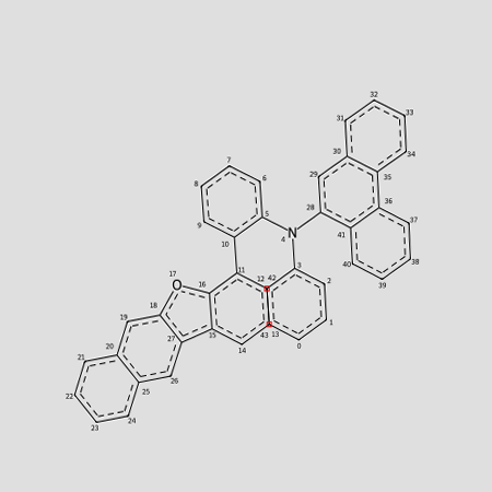 c1ccc(N(c2ccccc2-c2cccc3c2oc2cc4ccccc4cc23)c2cc3ccccc3c3ccccc23)cc1